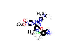 Cc1cc2c(N3CCN(C(=O)OC(C)(C)C)CC3)nc(N3CC(N(C)C)C3)nc2c(Oc2c(Cl)c(C)cc3[nH]ncc23)n1